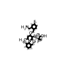 Cc1cc(OCc2ccc(F)cc2CN)c(Br)c(=O)n1-c1c(F)cccc1F.O=C(O)C(F)(F)F